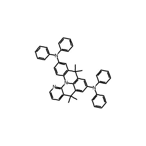 CC1(C)c2cc(N(c3ccccc3)c3ccccc3)ccc2N2c3ncccc3C(C)(C)c3cc(N(c4ccccc4)c4ccccc4)cc1c32